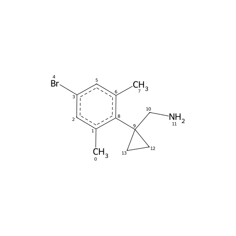 Cc1cc(Br)cc(C)c1C1(CN)CC1